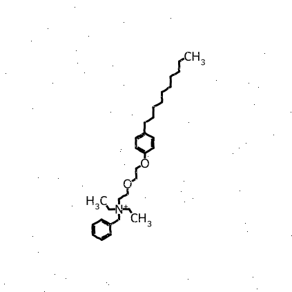 CCCCCCCCCCc1ccc(OCCOCC[N+](CC)(CC)Cc2ccccc2)cc1